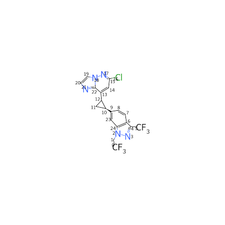 FC(F)(F)Cn1nc(C(F)(F)F)c2ccc([C@H]3CC3c3cc(Cl)nn4ccnc34)cc21